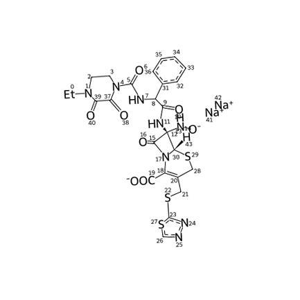 CCN1CCN(C(=O)NC(C(=O)N[C@]2(N[O-])C(=O)N3C(C(=O)[O-])=C(CSc4nncs4)CS[C@H]32)c2ccccc2)C(=O)C1=O.[Na+].[Na+]